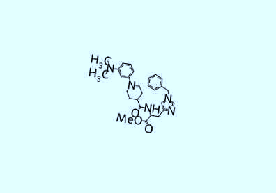 COC(=O)C(Cc1cn(Cc2ccccc2)cn1)NC(=O)C1CCN(c2cccc(N(C)C)c2)CC1